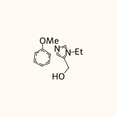 CCn1cncc1CO.COc1ccccc1